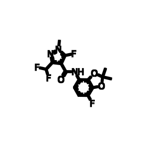 Cn1nc(C(F)F)c(C(=O)Nc2ccc(F)c3c2OC(C)(C)O3)c1F